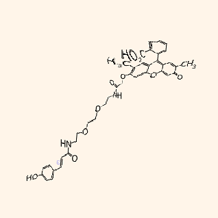 Cc1cc2c(-c3ccccc3C(=O)O)c3cc(C)c(=O)cc-3oc2cc1OCC(=O)NCCOCCOCCNC(=O)/C=C/c1ccc(O)cc1